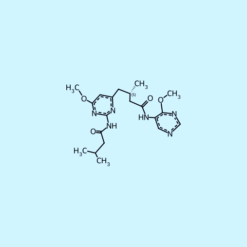 COc1cc(C[C@H](C)CC(=O)Nc2cncnc2OC)nc(NC(=O)CC(C)C)n1